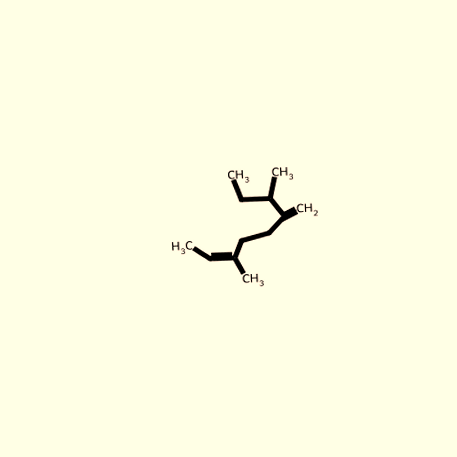 C=C(CC/C(C)=C\C)C(C)CC